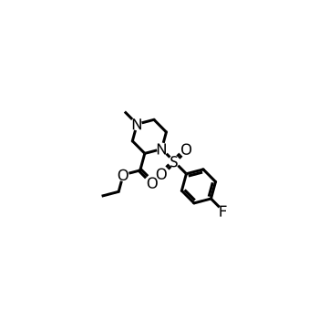 CCOC(=O)C1CN(C)CCN1S(=O)(=O)c1ccc(F)cc1